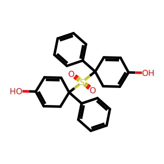 O=S(=O)(C1(c2ccccc2)C=CC(O)=CC1)C1(c2ccccc2)C=CC(O)=CC1